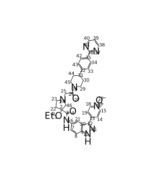 CCO[C@@]1(C(=O)Nc2ccc3[nH]nc(-c4cc[n+]([O-])cc4)c3c2)CCN(CC(=O)N2CCC(c3ccc(-c4ncccn4)cc3)CC2)C1